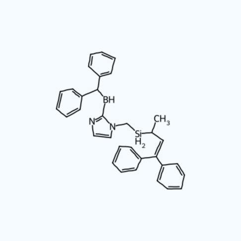 CC(C=C(c1ccccc1)c1ccccc1)[SiH2]Cn1ccnc1BC(c1ccccc1)c1ccccc1